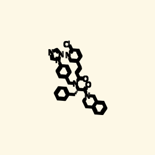 O=C([C@H](Cc1ccccc1)N(Cc1ccc(-n2cncn2)cc1)C(=O)C=Cc1ccc(Cl)nc1)N1CCc2ccccc2C1